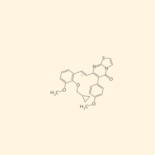 COc1ccc(-c2c(/C=C/c3cccc(OC)c3OCC3CC3)nc3sccn3c2=O)cc1